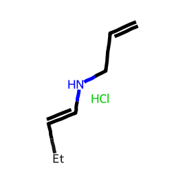 C=CCN/C=C/CC.Cl